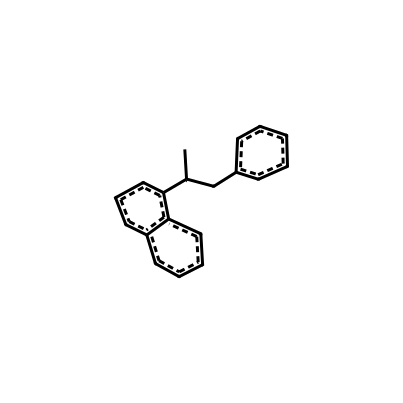 C[C](Cc1ccccc1)c1cccc2ccccc12